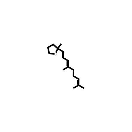 CC(C)=CCC/C(C)=C/CCC1(C)CCCO1